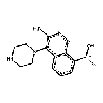 C[C@@H](O)c1cccc2c(N3CCNCC3)c(N)nnc12